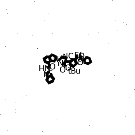 CCN(c1cccc(-c2ccc(N3CCc4cccc(C(=O)Nc5nc6ccccc6s5)c4C3)nc2C(=O)OC(C)(C)C)c1C#N)S(=O)(=O)C1CCCCC1